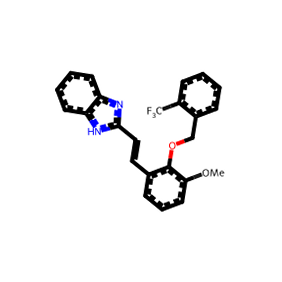 COc1cccc(/C=C/c2nc3ccccc3[nH]2)c1OCc1ccccc1C(F)(F)F